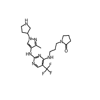 Cc1nn(C2CCNC2)cc1Nc1ncc(C(F)(F)F)c(NCCCN2CCCC2=O)n1